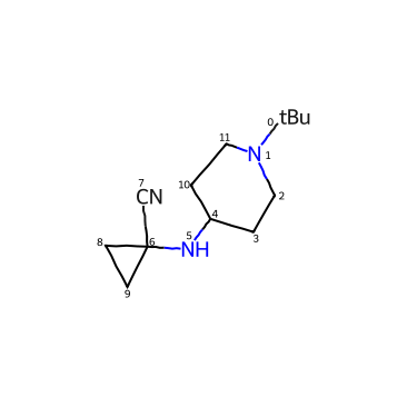 CC(C)(C)N1CCC(NC2(C#N)CC2)CC1